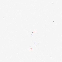 CCCCCCCCCCCC(=O)NCCCN(CCC)CCCO